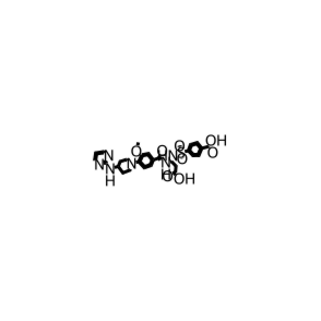 COc1cc(C(=O)NC(CC(=O)O)NS(=O)(=O)c2ccc(C(=O)O)cc2)ccc1N1CCC(Nc2ncccn2)CC1